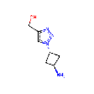 N[C@H]1C[C@H](n2cc(CO)nn2)C1